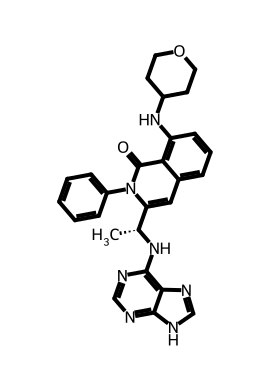 C[C@@H](Nc1ncnc2[nH]cnc12)c1cc2cccc(NC3CCOCC3)c2c(=O)n1-c1ccccc1